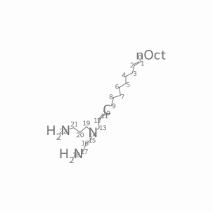 CCCCCCCCC=CCCCCCCCCC=CCN(CCCN)CCCN